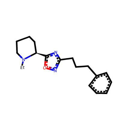 CCN1CCCC[C@H]1c1nc(CCCc2ccccc2)no1